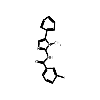 Cn1c(-c2ccccc2)cnc1NC(=O)c1cccc(I)c1